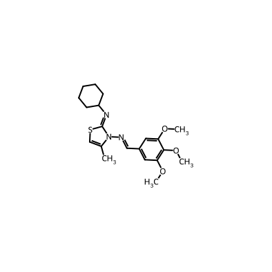 COc1cc(/C=N/n2c(C)cs/c2=N\C2CCCCC2)cc(OC)c1OC